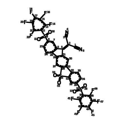 N#CC(C#N)=C1c2cc(S(=O)(=O)c3c(F)c(F)c(F)c(F)c3F)ccc2-c2cc3c(cc21)-c1ccc(S(=O)(=O)c2c(F)c(F)c(F)c(F)c2F)cc1S3(=O)=O